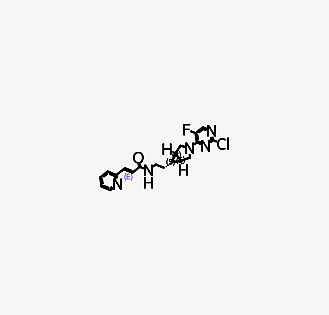 O=C(/C=C/c1ccccn1)NCC[C@@H]1[C@H]2CN(c3nc(Cl)ncc3F)C[C@@H]12